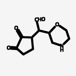 O=CC(C1CNCCO1)C1CCC(=O)C1=O